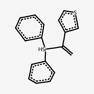 C=C(c1ccsc1)[SiH](c1ccccc1)c1ccccc1